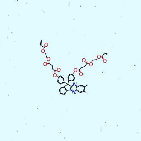 C=CC(=O)OCCOC(=O)CCC(=O)Oc1ccc(C2(c3ccc(OC(=O)CCC(=O)OCCOC(=O)C=C)cc3)c3ccccc3-c3nc4cc(C)c(C)cc4nc32)cc1